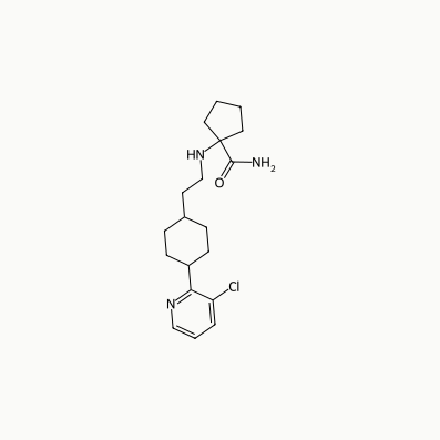 NC(=O)C1(NCCC2CCC(c3ncccc3Cl)CC2)CCCC1